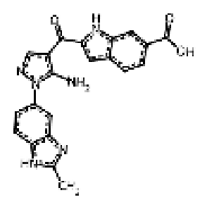 Cc1nc2cc(-n3ncc(C(=O)c4cc5ccc(C(=O)O)cc5[nH]4)c3N)ccc2[nH]1